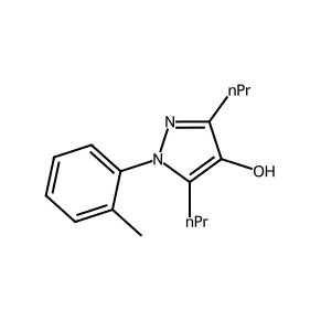 CCCc1nn(-c2ccccc2C)c(CCC)c1O